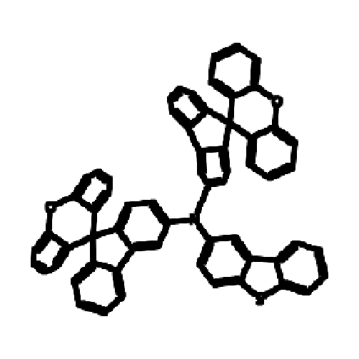 c1ccc2c(c1)Oc1ccccc1C21c2ccccc2-c2cc(N(c3ccc4c(c3)-c3ccccc3C43c4ccccc4Oc4ccccc43)c3ccc4sc5ccccc5c4c3)ccc21